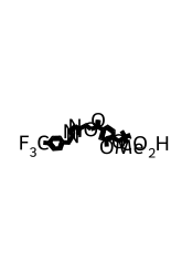 COc1cc(C(=O)OCc2cn(Cc3ccc(C(F)(F)F)cc3)nn2)ccc1OC(C)(C)C(=O)O